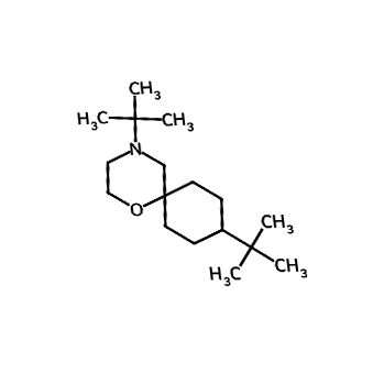 CC(C)(C)C1CCC2(CC1)CN(C(C)(C)C)CCO2